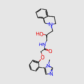 Cn1cncc1-c1ccccc1OCC(=O)NCC(O)CN1CCc2ccccc2C1